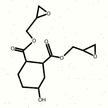 O=C(OCC1CO1)C1CCC(O)CC1C(=O)OCC1CO1